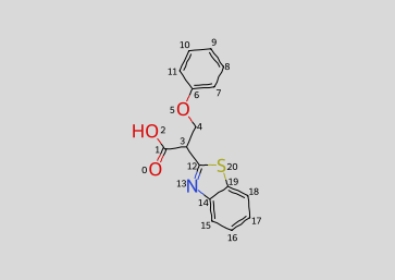 O=C(O)C(COc1ccccc1)c1nc2ccccc2s1